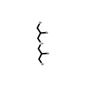 BrCC(Br)C[Se]CC(Br)CBr